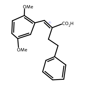 COc1ccc(OC)c(/C=C(\CCc2ccccc2)C(=O)O)c1